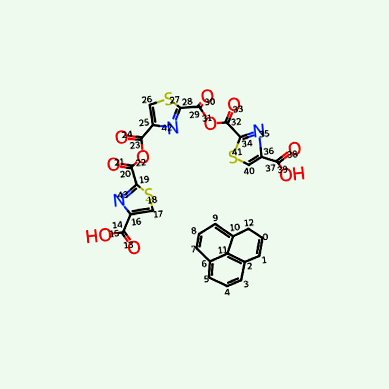 C1=Cc2cccc3cccc(c23)C1.O=C(O)c1csc(C(=O)OC(=O)c2csc(C(=O)OC(=O)c3nc(C(=O)O)cs3)n2)n1